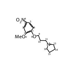 COc1cc([N+](=O)[O-])ccc1OCCCN1CCCC1